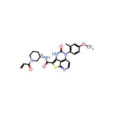 C=CC(=O)N1CCC[C@@H](NC(=O)c2sc3nccc4c3c2NC(=O)N4c2ccc(OC(F)(F)F)cc2C)C1